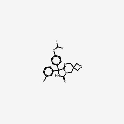 FC(F)Oc1ccc(C2(c3cccc(Br)c3)NC(=S)N3CC4(CN=C32)COC4)cc1